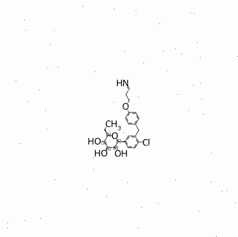 CC[C@H]1O[C@@H](c2ccc(Cl)c(Cc3ccc(OCCC=N)cc3)c2)[C@H](O)[C@@H](O)[C@@H]1O